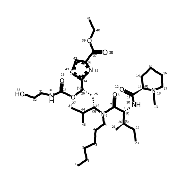 CCCCCCN(C(=O)[C@H](NC(=O)[C@H]1CCCCN1C)[C@H](C)CC)[C@@H](C[C@H](OC(=O)NCCO)c1nc(C(=O)OCC)cs1)C(C)C